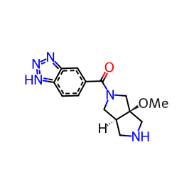 CO[C@@]12CNC[C@H]1CN(C(=O)c1ccc3[nH]nnc3c1)C2